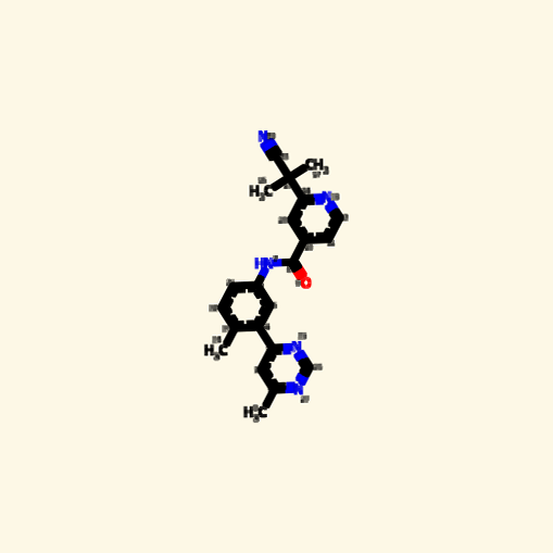 Cc1cc(-c2cc(NC(=O)c3ccnc(C(C)(C)C#N)c3)ccc2C)ncn1